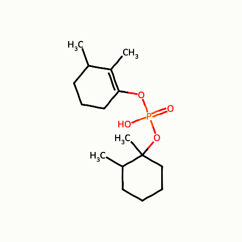 CC1=C(OP(=O)(O)OC2(C)CCCCC2C)CCCC1C